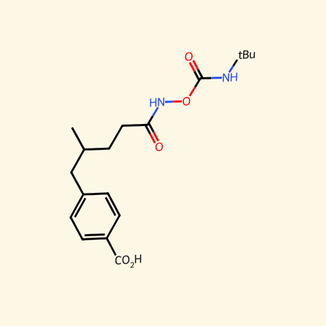 CC(CCC(=O)NOC(=O)NC(C)(C)C)Cc1ccc(C(=O)O)cc1